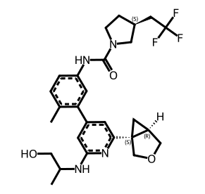 Cc1ccc(NC(=O)N2CC[C@@H](CC(F)(F)F)C2)cc1-c1cc(NC(C)CO)nc([C@@]23COC[C@@H]2C3)c1